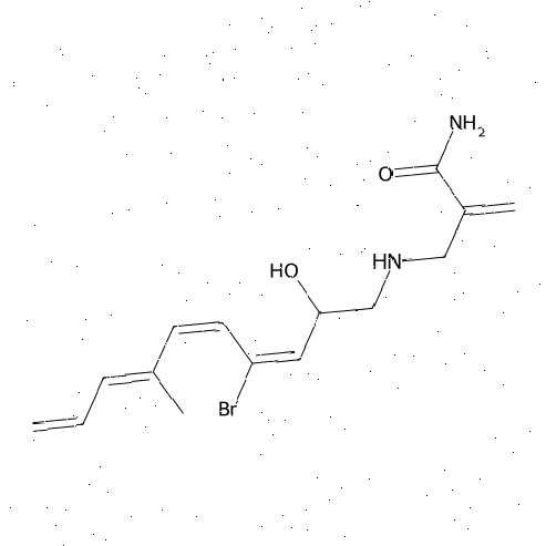 C=C/C=C(C)/C=C\C(Br)=C/C(O)CNCC(=C)C(N)=O